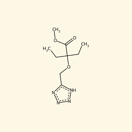 CCC(CC)(OCc1nnn[nH]1)C(=O)OC